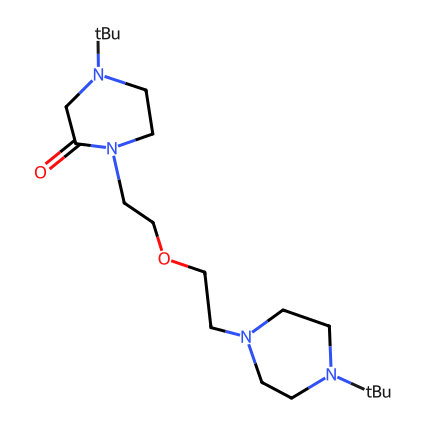 CC(C)(C)N1CCN(CCOCCN2CCN(C(C)(C)C)CC2=O)CC1